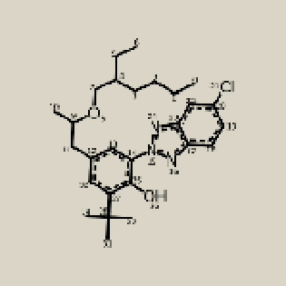 CCCCC(CC)COC(C)Cc1cc(-n2nc3ccc(Cl)cc3n2)c(O)c(C(C)(C)C)c1